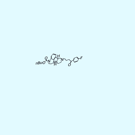 CCCCOC(=O)N1CCN2c3c(cccc31)[C@@H]1CN(CCCC(=O)c3ccc(F)cc3)CC[C@@H]12